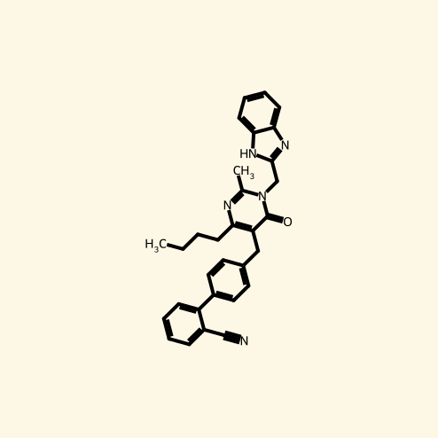 CCCCc1nc(C)n(Cc2nc3ccccc3[nH]2)c(=O)c1Cc1ccc(-c2ccccc2C#N)cc1